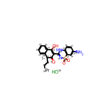 CC(C)CC[C@]1(C)C(=O)C(C2=NS(=O)(=O)c3cc(N)ccc3N2)=C(O)c2ccccc21.Cl